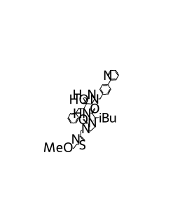 CC[C@H](C)[C@@H](C(=O)N[C@@H](Cc1ccccc1)[C@@H](O)CN(N)Cc1ccc(-c2ccccn2)cc1)N1CCN(Cc2csc(COC)n2)C1=O